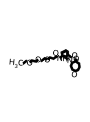 CCCOCCOCCOCCC(=O)Nc1cccc2c1CN(C1CCC(=O)CCCC1=O)C2=O